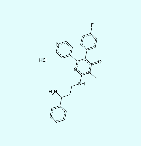 Cl.Cn1c(NCCC(N)c2ccccc2)nc(-c2ccncc2)c(-c2ccc(F)cc2)c1=O